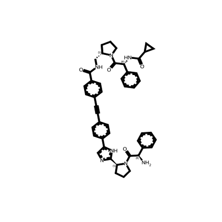 N[C@@H](C(=O)N1CCC[C@H]1c1ncc(-c2ccc(C#Cc3ccc(C(=O)NC[C@@H]4CCCN4C(=O)[C@H](NC(=O)C4CC4)c4ccccc4)cc3)cc2)[nH]1)c1ccccc1